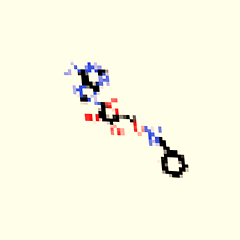 Nc1ncnc2c1ncn2[C@@H]1O[C@H](CONN=CC2CCCCC2)[C@@H](O)[C@H]1O